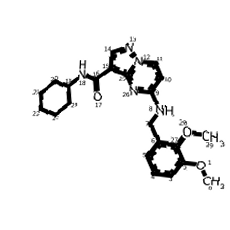 COc1cccc(CNc2ccn3ncc(C(=O)NC4CCCCC4)c3n2)c1OC